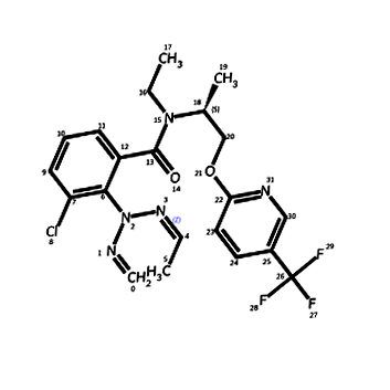 C=NN(/N=C\C)c1c(Cl)cccc1C(=O)N(CC)[C@@H](C)COc1ccc(C(F)(F)F)cn1